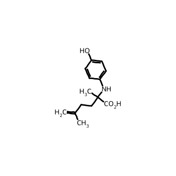 C=C(C)CCC(C)(Nc1ccc(O)cc1)C(=O)O